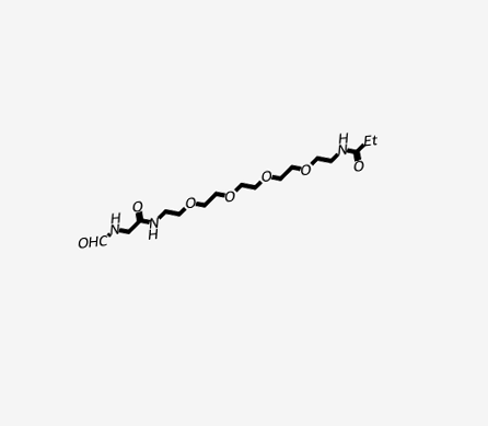 CCC(=O)NCCOCCOCCOCCOCCNC(=O)CNC=O